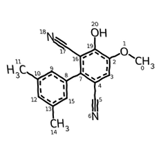 COc1cc(C#N)c(-c2cc(C)cc(C)c2)c(C#N)c1O